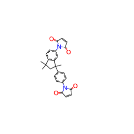 CC1(C)CC(C)(c2ccc(N3C(=O)C=CC3=O)cc2)c2cc(N3C(=O)C=CC3=O)ccc21